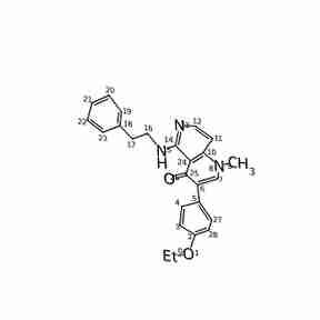 CCOc1ccc(-c2cn(C)c3ccnc(NCCc4ccccc4)c3c2=O)cc1